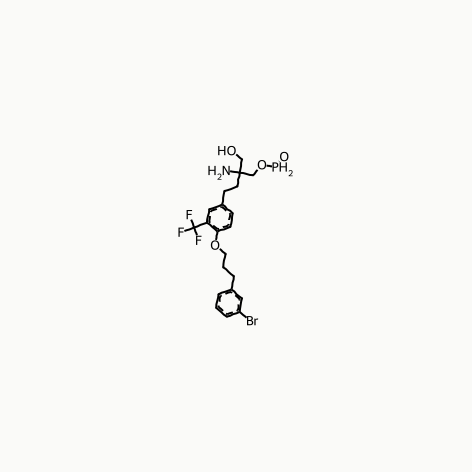 NC(CO)(CCc1ccc(OCCCc2cccc(Br)c2)c(C(F)(F)F)c1)CO[PH2]=O